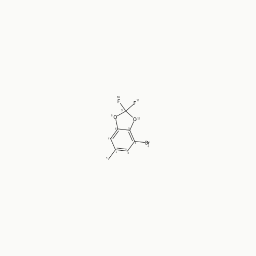 Cc1cc(Br)c2c(c1)OC(F)(F)O2